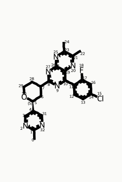 Cc1ncc([C@@H]2CC(c3nc(-c4ccc(Cl)cc4F)c4nc(C)c(C)nc4n3)CCO2)cn1